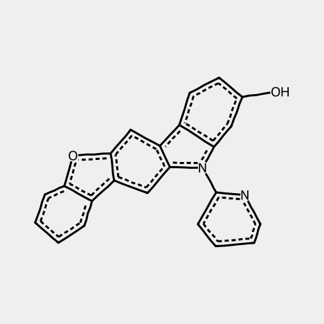 Oc1ccc2c3cc4oc5ccccc5c4cc3n(-c3ccccn3)c2c1